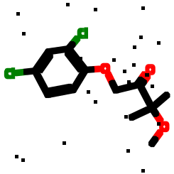 COC(C)(C)C(=O)COc1ccc(Cl)cc1Cl